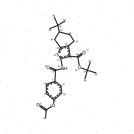 CC(=O)Oc1ccc(C(=O)Nc2sc3c(c2C(=O)OC(C)(C)C)CCC(C(C)(C)C)C3)cc1